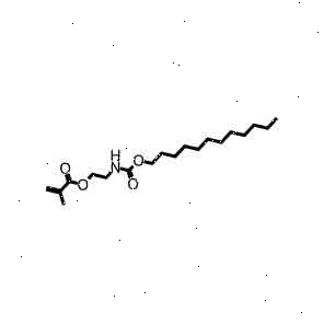 C=C(C)C(=O)OCCNC(=O)OCCCCCCCCCCCC